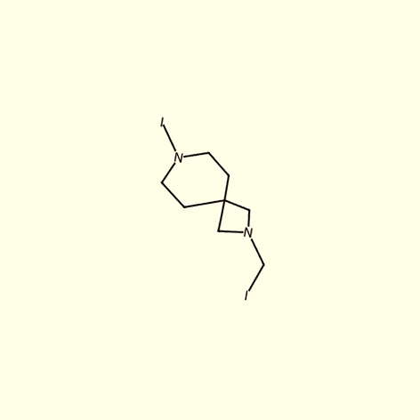 ICN1CC2(CCN(I)CC2)C1